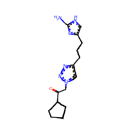 Nc1nc(CCCc2cn(CC(=O)C3CCCC3)nn2)c[nH]1